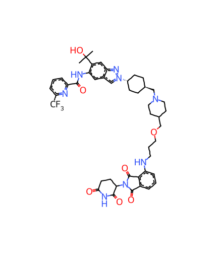 CC(C)(O)c1cc2nn([C@H]3CC[C@H](CN4CCC(COCCCNc5cccc6c5C(=O)N(C5CCC(=O)NC5=O)C6=O)CC4)CC3)cc2cc1NC(=O)c1cccc(C(F)(F)F)n1